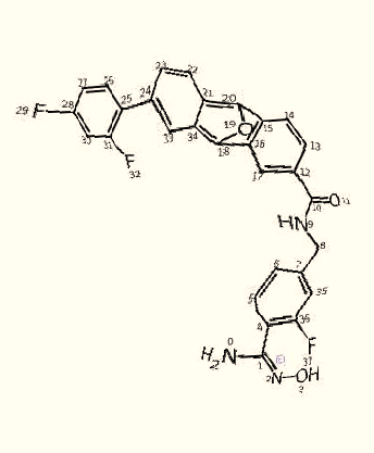 N/C(=N/O)c1ccc(CNC(=O)c2ccc3c(c2)c2oc3c3ccc(-c4ccc(F)cc4F)cc32)cc1F